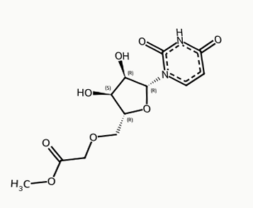 COC(=O)COC[C@H]1O[C@@H](n2ccc(=O)[nH]c2=O)[C@H](O)[C@@H]1O